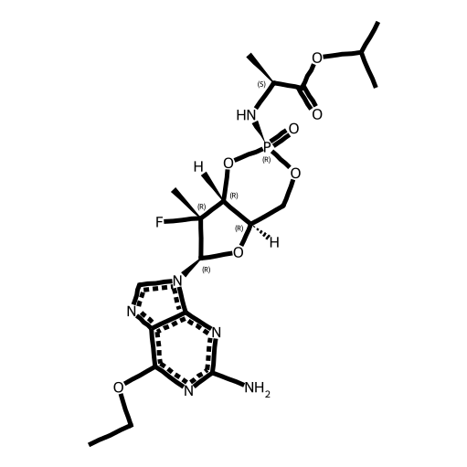 CCOc1nc(N)nc2c1ncn2[C@@H]1O[C@@H]2CO[P@](=O)(N[C@@H](C)C(=O)OC(C)C)O[C@H]2[C@@]1(C)F